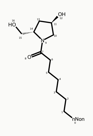 CCCCCCCCCCCCCCCC(=O)N1C[C@H](O)C[C@H]1CO